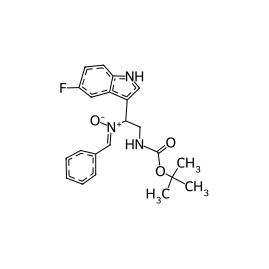 CC(C)(C)OC(=O)NCC(c1c[nH]c2ccc(F)cc12)[N+]([O-])=Cc1ccccc1